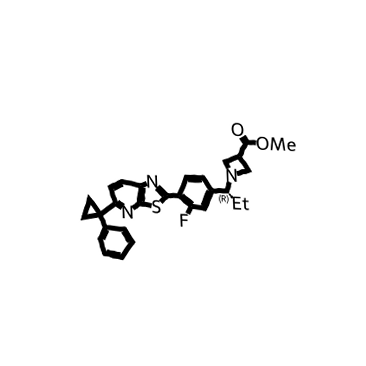 CC[C@H](c1ccc(-c2nc3ccc(C4(c5ccccc5)CC4)nc3s2)c(F)c1)N1CC(C(=O)OC)C1